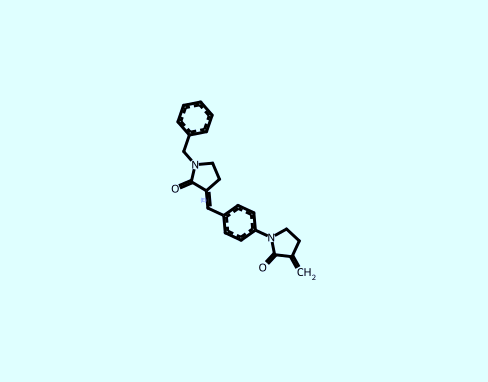 C=C1CCN(c2ccc(/C=C3\CCN(Cc4ccccc4)C3=O)cc2)C1=O